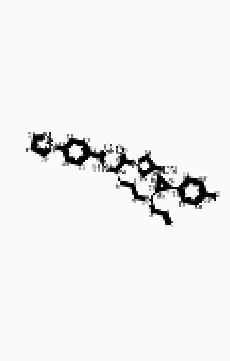 C=CCN(CCC[C@H](NC(=O)c1ccc(-n2cccn2)cc1)C(=O)N1CC(C#N)C1)[C@@H]1C[C@H]1c1ccc(F)cc1